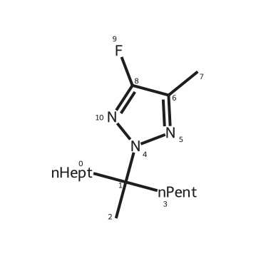 CCCCCCCC(C)(CCCCC)n1nc(C)c(F)n1